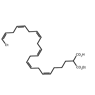 CC/C=C\C/C=C\C/C=C\C/C=C\C/C=C\C/C=C\CCCC(C(=O)O)C(=O)OCC